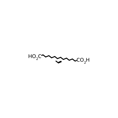 C=CC.O=C(O)CCCCCCCCCCCCC(=O)O